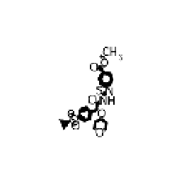 CCOC(=O)C1CCc2nc(NC(=O)C(OC3CCOCC3)c3ccc(S(=O)(=O)C4CC4)cc3)sc2C1